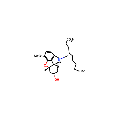 CCCCCCCCCCCCCCCCCC(=O)O.COc1ccc2c3c1O[C@H]1C[C@@H](O)C=C[C@@]31CCN(C)C2